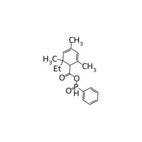 CCC1(C)C=C(C)C=C(C)C1C(=O)O[PH](=O)c1ccccc1